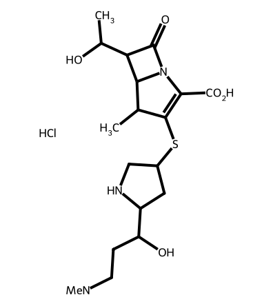 CNCCC(O)C1CC(SC2=C(C(=O)O)N3C(=O)C(C(C)O)C3C2C)CN1.Cl